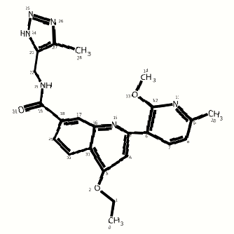 CCOc1cc(-c2ccc(C)nc2OC)nc2cc(C(=O)NCc3[nH]nnc3C)ccc12